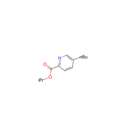 CCCCc1ccc(C(=O)OC(C)C)nc1